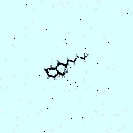 [O]CCCCc1cc2ccccc2cn1